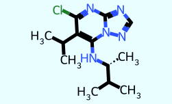 CC(C)c1c(Cl)nc2ncnn2c1N[C@H](C)C(C)C